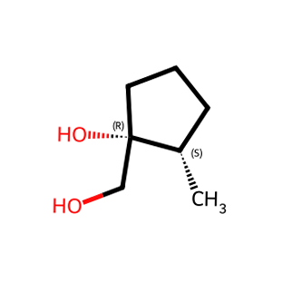 C[C@H]1CCC[C@]1(O)CO